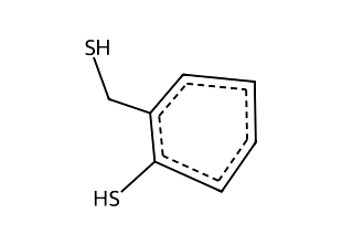 SCc1ccccc1S